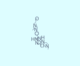 CCN1CCC(Nc2c(Cl)cnc3[nH]c(-c4ccc(N5CCN(CCCOC)CC5C)cc4)nc23)CC1